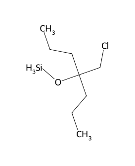 CCCC(CCl)(CCC)O[SiH3]